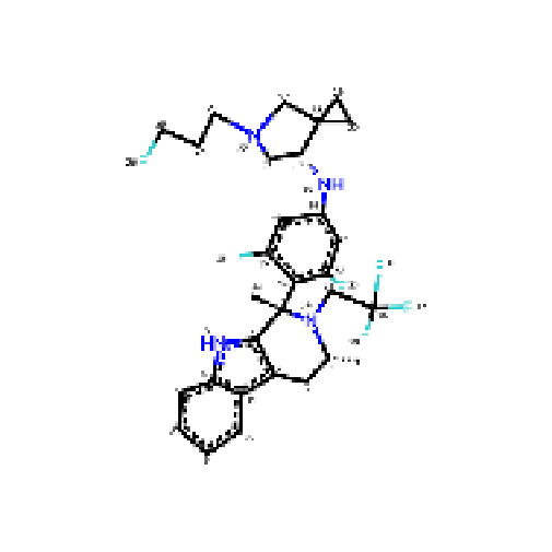 C[C@@H]1Cc2c([nH]c3ccccc23)[C@](C)(c2c(F)cc(N[C@@H]3CN(CCCF)CC34CC4)cc2F)N1CC(F)(F)F